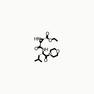 CCOC(=O)[C@H]1N[C@@H]1C(=O)N[C@@H](CC(C)C)C(=O)N1CCOCC1